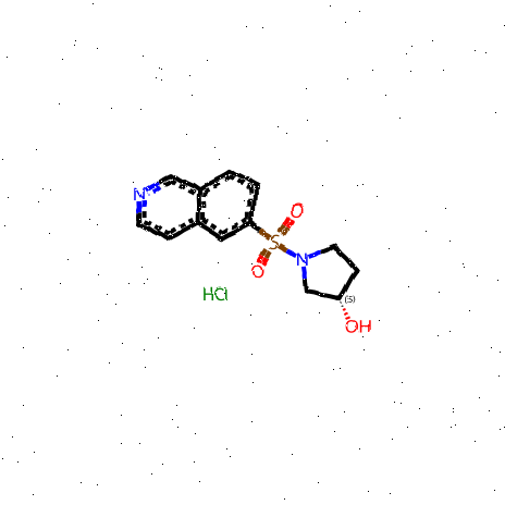 Cl.O=S(=O)(c1ccc2cnccc2c1)N1CC[C@H](O)C1